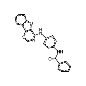 O=C(Nc1ccc(Nc2ncnc3c2oc2ccccc23)cc1)c1ccccc1